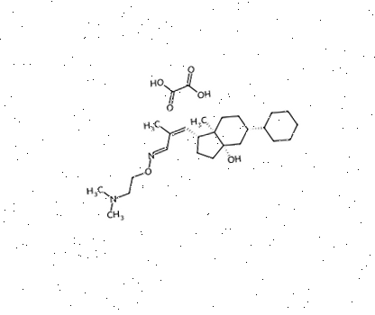 CC(C=NOCCN(C)C)=C[C@H]1CC[C@]2(O)C[C@@H](C3CCCCC3)CC[C@]12C.O=C(O)C(=O)O